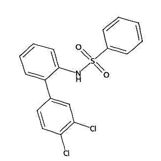 O=S(=O)(Nc1ccccc1-c1ccc(Cl)c(Cl)c1)c1ccccc1